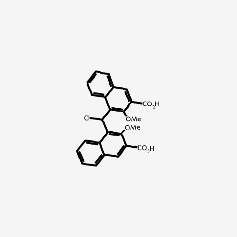 COc1c(C(=O)O)cc2ccccc2c1C(Cl)c1c(OC)c(C(=O)O)cc2ccccc12